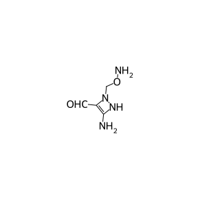 NOCn1[nH]c(N)c1C=O